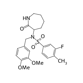 COc1ccc(CN(C2CCCCNC2=O)S(=O)(=O)c2ccc(C)c(F)c2)cc1OC